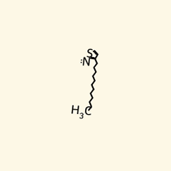 CCCCCCCCCCCCc1ccsc1[N]